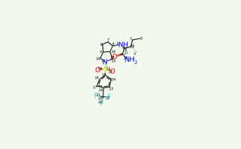 CC[C@H](C)[C@H](NC1CCC2CN(S(=O)(=O)c3ccc(C(F)(F)F)cc3)CC21)C(N)=O